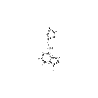 Cc1csc2c(NCc3ccco3)cnnc12